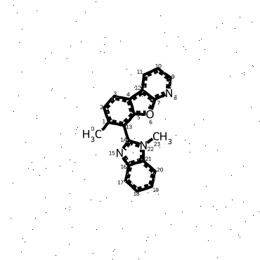 Cc1ccc2c(oc3ncccc32)c1-c1nc2ccccc2n1C